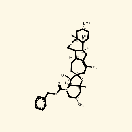 CO[C@@H]1CC[C@@]2(C)[C@H](CCC3[C@@H]4CC[C@@]5(CC(C)=C4C[C@@H]32)O[C@@H]2C[C@H](C)CN(C(=O)OCc3ccccc3)[C@H]2[C@H]5C)C1